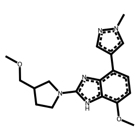 COCC1CCN(c2nc3c(-c4cnn(C)c4)ccc(OC)c3[nH]2)C1